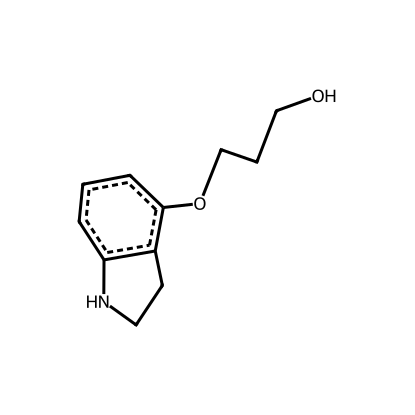 OCCCOc1cccc2c1CCN2